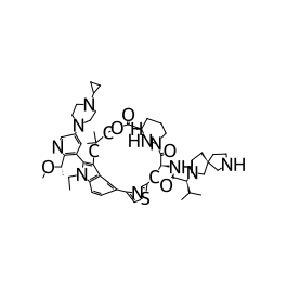 CCn1c(-c2cc(N3CCN(C4CC4)CC3)cnc2[C@H](C)OC)c2c3cc(ccc31)-c1csc(n1)C[C@H](NC(=O)[C@H](C(C)C)N1CC[C@]3(CCNC3)C1)C(=O)N1CCC[C@H](N1)C(=O)OCC(C)(C)C2